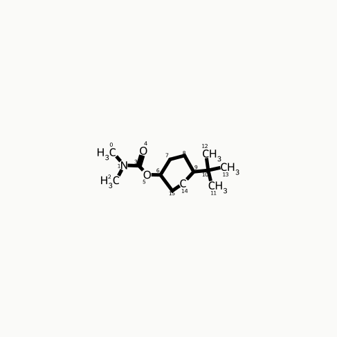 CN(C)C(=O)OC1CCC(C(C)(C)C)CC1